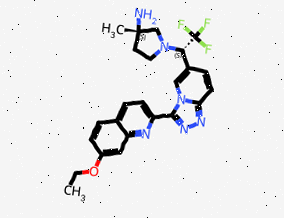 CCOc1ccc2ccc(-c3nnc4ccc([C@H](N5CC[C@](C)(N)C5)C(F)(F)F)cn34)nc2c1